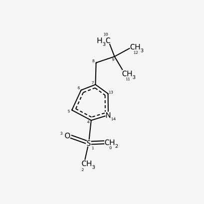 C=S(C)(=O)c1ccc(CC(C)(C)C)cn1